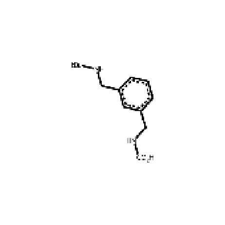 CC(C)(C)NCc1cccc(CNC(=O)O)c1